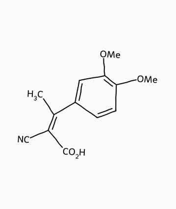 COc1ccc(C(C)=C(C#N)C(=O)O)cc1OC